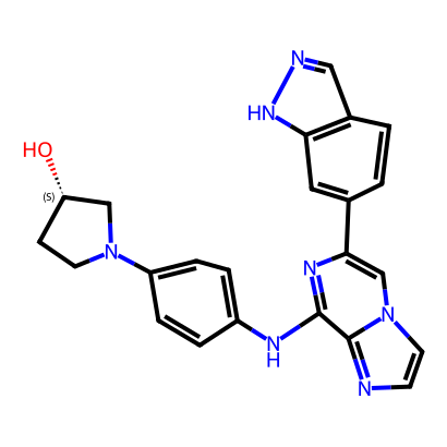 O[C@H]1CCN(c2ccc(Nc3nc(-c4ccc5cn[nH]c5c4)cn4ccnc34)cc2)C1